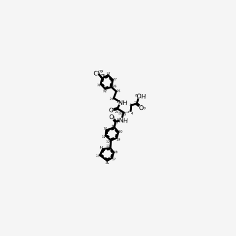 O=C(O)CC[C@H](NC(=O)c1ccc(-c2ccccc2)cc1)C(=O)NCCc1ccc(Cl)cc1